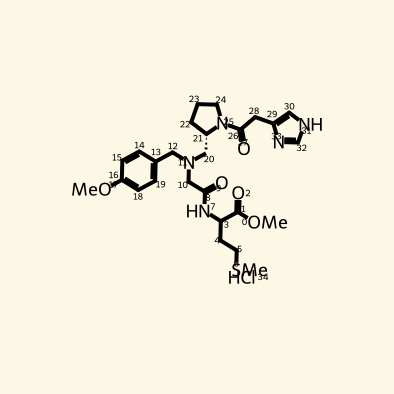 COC(=O)C(CCSC)NC(=O)CN(Cc1ccc(OC)cc1)C[C@@H]1CCCN1C(=O)Cc1c[nH]cn1.Cl